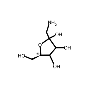 NCC1(O)O[C@H](CO)C(O)C1O